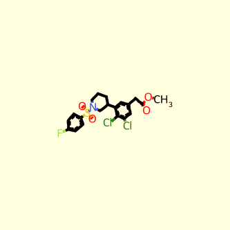 COC(=O)Cc1cc(Cl)c(Cl)c(C2CCCN(S(=O)(=O)c3ccc(F)cc3)C2)c1